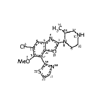 COc1c(Cl)cc2nc(N3CCNC[C@@H]3C)oc2c1-c1nccs1